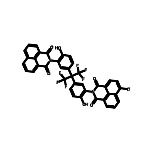 O=C1c2cccc3cccc(c23)C(=O)N1c1cc(C(c2ccc(O)c(N3C(=O)c4cccc5c(Cl)ccc(c45)C3=O)c2)(C(F)(F)F)C(F)(F)F)ccc1O